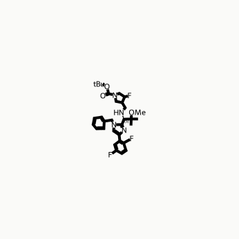 COC(C)(C)[C@@H](NCC1CN(C(=O)OC(C)(C)C)CC1F)c1nc(-c2cc(F)ccc2F)cn1Cc1ccccc1